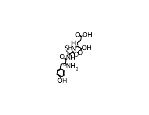 N[C@@H](Cc1ccc(O)cc1)C(=O)N[C@@H](CS)C(=O)N[C@@H](CCC(=O)O)C(=O)O